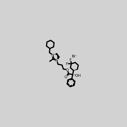 Cc1n(CCCOC(=O)[C@](O)(c2ccccc2)[C@@H]2CCCC(F)(F)C2)cc[n+]1CC1CCCCC1.[Br-]